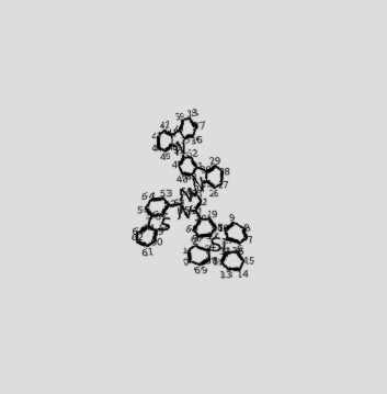 c1ccc([Si](c2ccccc2)(c2ccccc2)c2ccc(-c3cc(-n4c5ccccc5c5cc(-n6c7ccccc7c7ccccc76)ccc54)nc(-c4cccc5c4sc4ccccc45)n3)cc2)cc1